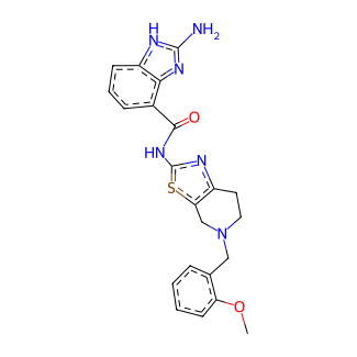 COc1ccccc1CN1CCc2nc(NC(=O)c3cccc4[nH]c(N)nc34)sc2C1